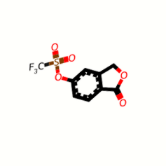 O=C1OCc2cc(OS(=O)(=O)C(F)(F)F)ccc21